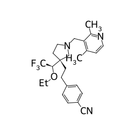 CCO[C@@H](C(F)(F)F)[C@]1(CCc2ccc(C#N)cc2)CCN(Cc2c(C)ccnc2C)C1